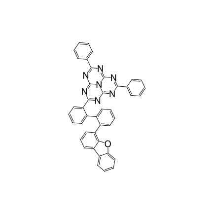 c1ccc(C2=NC3=NC(c4ccccc4)=NC4=NC(c5ccccc5-c5ccccc5-c5cccc6c5oc5ccccc56)=NC(=N2)N34)cc1